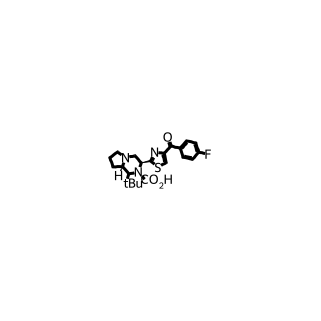 CC(C)(C)C1[C@H]2CCCN2C[C@@H](c2nc(C(=O)c3ccc(F)cc3)cs2)N1C(=O)O